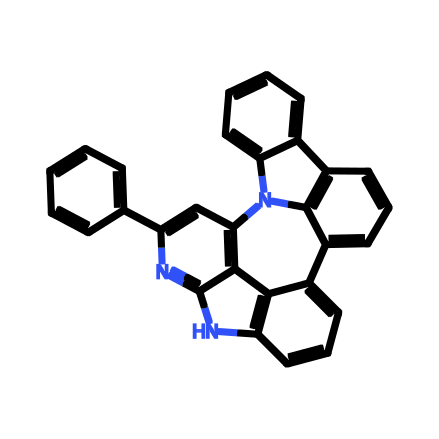 c1ccc(-c2cc3c4c(n2)[nH]c2cccc(c5cccc6c7ccccc7n3c56)c24)cc1